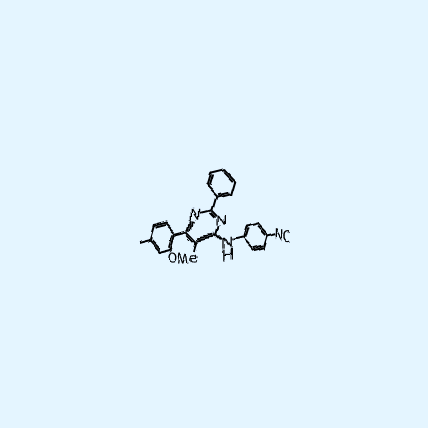 [C-]#[N+]c1ccc(Nc2nc(-c3ccccc3)nc(-c3ccc(C)cc3)c2OC)cc1